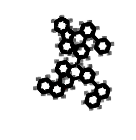 c1ccc(-c2cc(-c3cccc4ccccc34)ccc2N(c2ccc(-c3c(-c4ccccc4)cccc3-n3c4ccccc4c4ccccc43)cc2)c2cccc(-c3cccc4ccccc34)c2)cc1